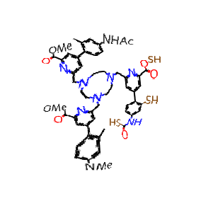 CNc1ccc(-c2cc(CN3CCN(Cc4cc(-c5ccc(NC(C)=O)cc5C)cc(C(=O)OC)n4)CCN(Cc4cc(-c5ccc(NC(=O)S)cc5S)cc(C(=O)OS)n4)CC3)nc(C(=O)OC)c2)c(C)c1